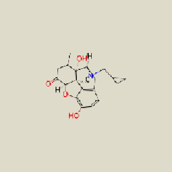 CC1CC(=O)[C@@H]2Oc3c(O)ccc4c3[C@@]23CCN(CC2CC2)[C@H](C4)[C@]13O